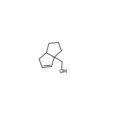 OCC12C=CCC1CCC2